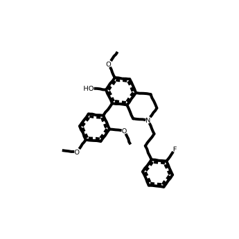 COc1ccc(-c2c(O)c(OC)cc3c2CN(CCc2ccccc2F)CC3)c(OC)c1